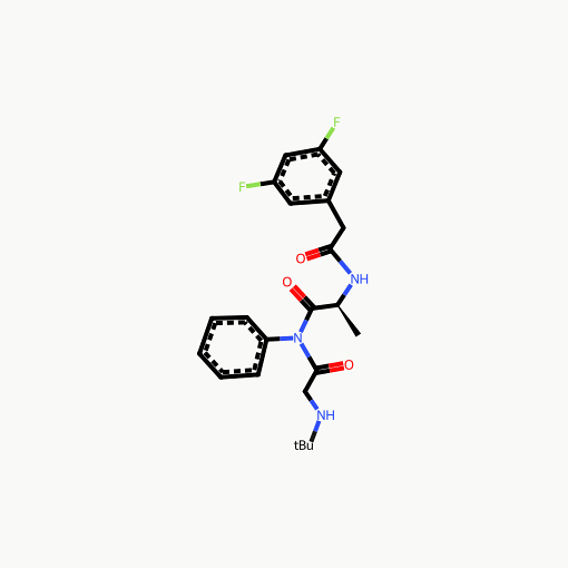 C[C@H](NC(=O)Cc1cc(F)cc(F)c1)C(=O)N(C(=O)CNC(C)(C)C)c1ccccc1